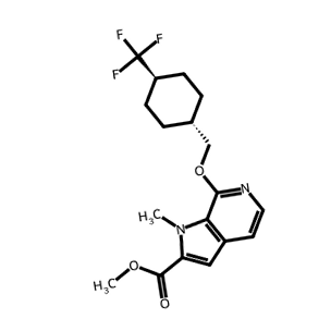 COC(=O)c1cc2ccnc(OC[C@H]3CC[C@H](C(F)(F)F)CC3)c2n1C